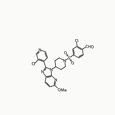 COc1ccc2nc(-c3ccncc3Cl)n(C3CCN(S(=O)(=O)c4ccc(C=O)c(Cl)c4)CC3)c2n1